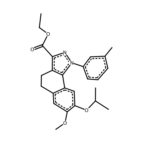 CCOC(=O)c1nn(-c2cccc(C)c2)c2c1CCc1cc(OC)c(OC(C)C)cc1-2